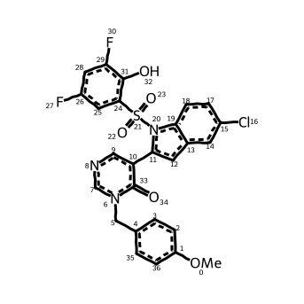 COc1ccc(Cn2cncc(-c3cc4cc(Cl)ccc4n3S(=O)(=O)c3cc(F)cc(F)c3O)c2=O)cc1